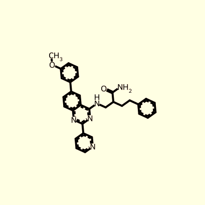 COc1cccc(-c2ccc3nc(-c4cccnc4)nc(NCC(CCc4ccccc4)C(N)=O)c3c2)c1